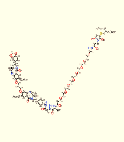 CCCCCCCCCCC(CCCCC)CSC1CC(=O)N(CCC(=O)NCCOCCOCCOCCOCCOCCOCCOCCOCCC(=O)N[C@H](C(=O)N[C@@H](C)C(=O)Nc2ccc(C3=CN4C(=O)c5cc(OC)c(OCCCOc6cc7c(cc6OC)C(=O)N6C=C(c8ccc9c(c8)OCO9)C[C@H]6C=N7)cc5N=C[C@@H]4C3)cc2)C(C)C)C1=O